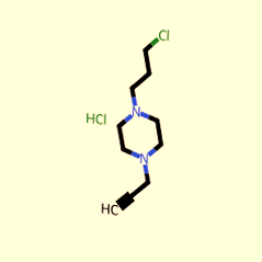 C#CCN1CCN(CCCCl)CC1.Cl